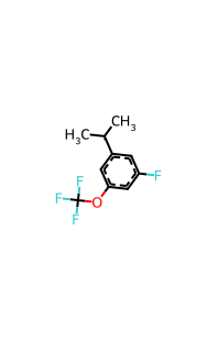 C[C](C)c1cc(F)cc(OC(F)(F)F)c1